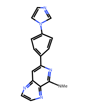 CNc1nc(-c2ccc(-n3ccnc3)cc2)cc2nccnc12